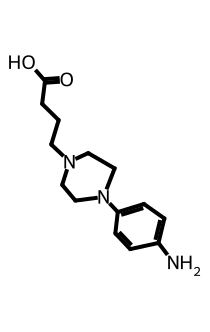 Nc1ccc(N2CCN(CCCC(=O)O)CC2)cc1